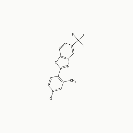 Cc1c[n+]([O-])ccc1-c1nc2cc(C(F)(F)F)ccc2o1